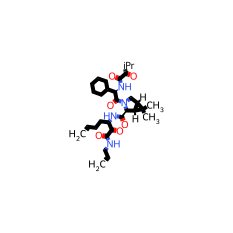 C=CCCC(NC(=O)[C@@H]1[C@@H]2[C@H](CN1C(=O)[C@@H](NC(=O)C(=O)C(C)C)C1CCCCC1)C2(C)C)C(=O)C(=O)NCC=C